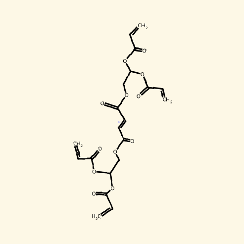 C=CC(=O)OC(COC(=O)/C=C/C(=O)OCC(OC(=O)C=C)OC(=O)C=C)OC(=O)C=C